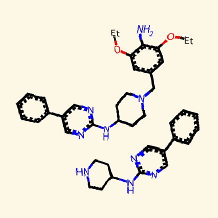 CCOc1cc(CN2CCC(Nc3ncc(-c4ccccc4)cn3)CC2)cc(OCC)c1N.c1ccc(-c2cnc(NC3CCNCC3)nc2)cc1